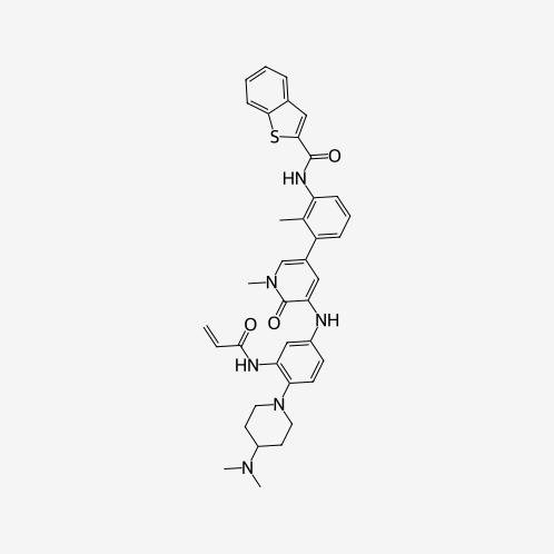 C=CC(=O)Nc1cc(Nc2cc(-c3cccc(NC(=O)c4cc5ccccc5s4)c3C)cn(C)c2=O)ccc1N1CCC(N(C)C)CC1